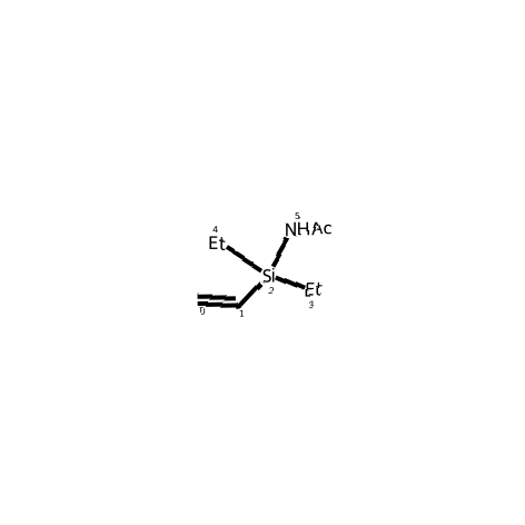 C=C[Si](CC)(CC)NC(C)=O